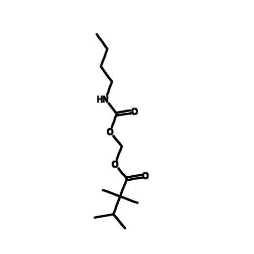 CCCCNC(=O)OCOC(=O)C(C)(C)C(C)C